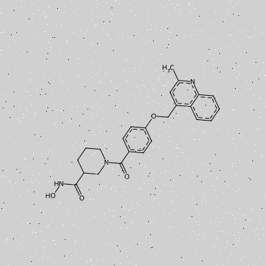 Cc1cc(COc2ccc(C(=O)N3CCCC(C(=O)NO)C3)cc2)c2ccccc2n1